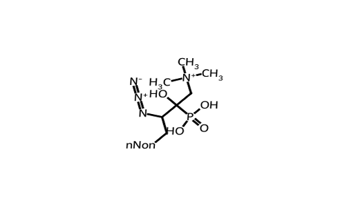 CCCCCCCCCCC(N=[N+]=[N-])C(O)(C[N+](C)(C)C)P(=O)(O)O